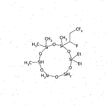 CC[Si]1(CC)O[SiH2]O[SiH2]O[SiH](C)O[Si](C)(C)O[Si](C)(C(F)CC(F)(F)F)O1